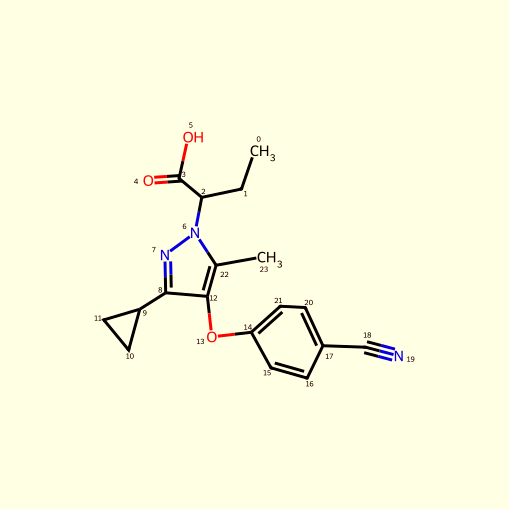 CCC(C(=O)O)n1nc(C2CC2)c(Oc2ccc(C#N)cc2)c1C